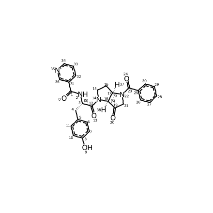 O=C(N[C@@H](Cc1ccc(O)cc1)C(=O)N1CC[C@@H]2[C@H]1C(=O)CN2C(=O)c1ccccc1)c1cccnc1